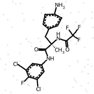 C[C@](Cc1ccc(N)cc1)(NC(=O)C(F)(F)F)C(=O)Nc1cc(Cl)c(F)c(Cl)c1